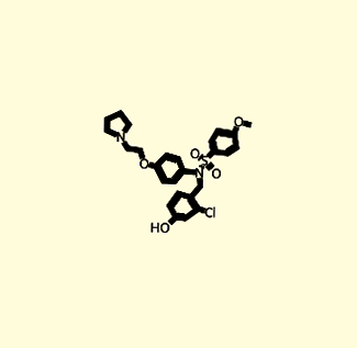 COc1ccc(S(=O)(=O)N(Cc2ccc(O)cc2Cl)c2ccc(OCCN3CCCC3)cc2)cc1